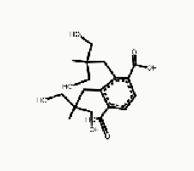 CC(CO)(CO)Cc1c(C(=O)O)ccc(C(=O)O)c1CC(C)(CO)CO